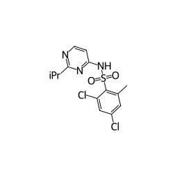 Cc1cc(Cl)cc(Cl)c1S(=O)(=O)Nc1ccnc(C(C)C)n1